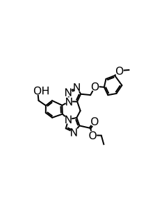 CCOC(=O)c1ncn2c1Cc1c(COc3cccc(OC)c3)nnn1-c1cc(CO)ccc1-2